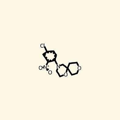 O=[N+]([O-])c1cc(Cl)ccc1N1CCOC2(CCOCC2)C1